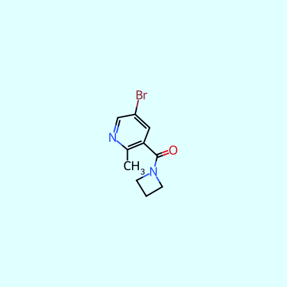 Cc1ncc(Br)cc1C(=O)N1CCC1